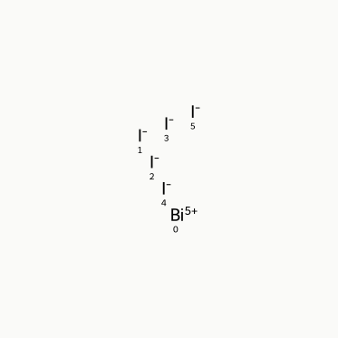 [Bi+5].[I-].[I-].[I-].[I-].[I-]